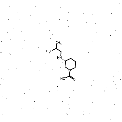 CC(C)CN[C@@H]1CCCN(C(=O)O)C1